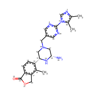 Cc1ncn(-c2ncc(CN3C[C@@H](c4ccc5c(c4C)COC5=O)N[C@@H](N)C3)cn2)c1C